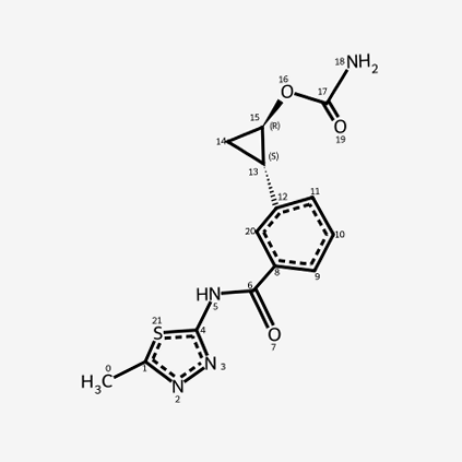 Cc1nnc(NC(=O)c2cccc([C@@H]3C[C@H]3OC(N)=O)c2)s1